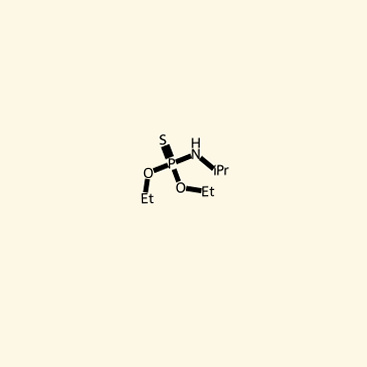 CCOP(=S)(NC(C)C)OCC